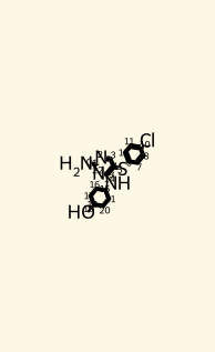 Nc1ncc(Sc2ccc(Cl)cc2)c(N[C@H]2CC[C@H](O)CC2)n1